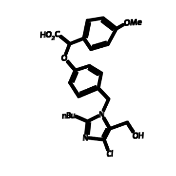 CCCCc1nc(Cl)c(CO)n1Cc1ccc(OC(C(=O)O)c2ccc(OC)cc2)cc1